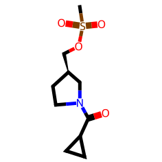 CS(=O)(=O)OC[C@@H]1CCN(C(=O)C2CC2)C1